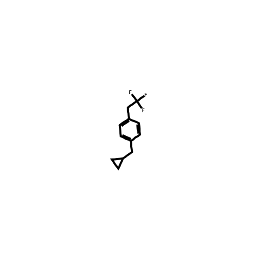 FC(F)(F)Cc1ccc(CC2CC2)cc1